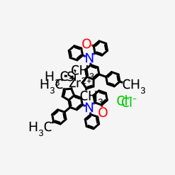 CC1=Cc2c(-c3ccc(C)cc3)cc(N3c4ccccc4Oc4ccccc43)cc2[C@@H]1[Zr+2]([C@H]1C(C)=Cc2c(-c3ccc(C)cc3)cc(N3c4ccccc4Oc4ccccc43)cc21)=[Si](C)C.[Cl-].[Cl-]